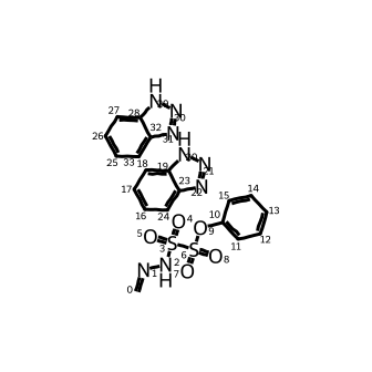 C=NNS(=O)(=O)S(=O)(=O)Oc1ccccc1.c1ccc2[nH]nnc2c1.c1ccc2[nH]nnc2c1